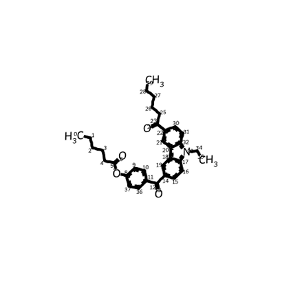 CCCCCC(=O)Oc1ccc(C(=O)c2ccc3c(c2)c2cc(C(=O)CCCCC)ccc2n3CC)cc1